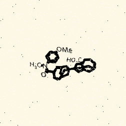 COc1ccc(N(C)C(=O)C2CC3CC4CC(C56CC7CCCC(C(=O)O)(C5)C(C7)C6)(C3)CC4C2)cc1